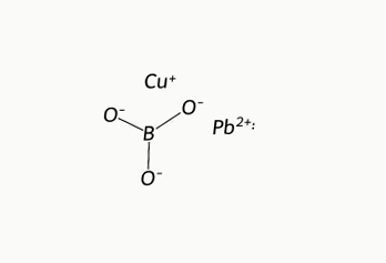 [Cu+].[O-]B([O-])[O-].[Pb+2]